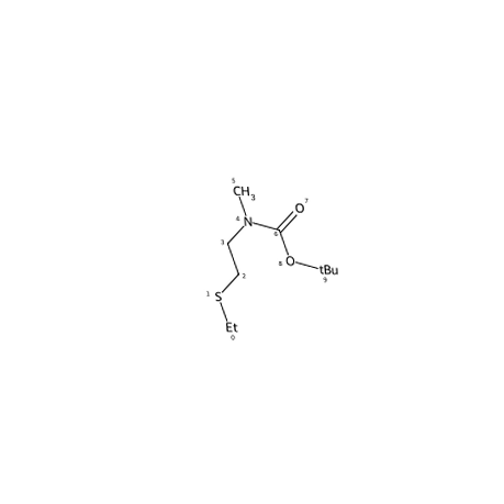 [CH2]CSCCN(C)C(=O)OC(C)(C)C